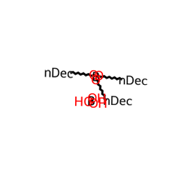 CCCCCCCCCCCCCCCCCCOB(OCCCCCCCCCCCCCCCCCC)OCCCCCCCCCCCCCCCCCC.OB(O)O